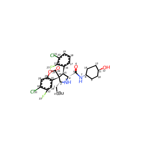 CC(C)(C)C[C@H]1N[C@@H](C(=O)N[C@H]2CC[C@H](O)CC2)[C@H](c2cccc(Cl)c2F)[C@@]12C(=O)Oc1cc(Cl)c(F)cc12